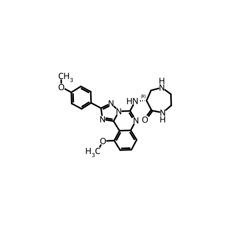 COc1ccc(-c2nc3c4c(OC)cccc4nc(N[C@@H]4CNCCNC4=O)n3n2)cc1